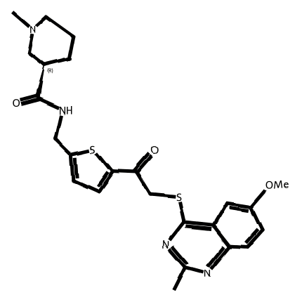 COc1ccc2nc(C)nc(SCC(=O)c3ccc(CNC(=O)[C@@H]4CCCN(C)C4)s3)c2c1